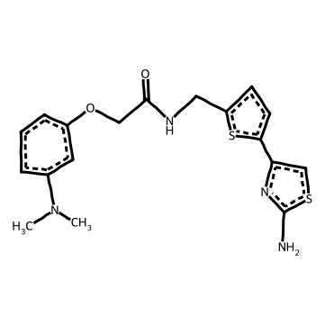 CN(C)c1cccc(OCC(=O)NCc2ccc(-c3csc(N)n3)s2)c1